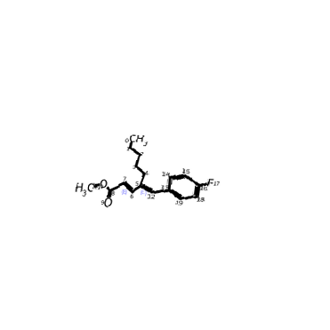 CCCCCC(/C=C/C(=O)OC)=C\c1ccc(F)cc1